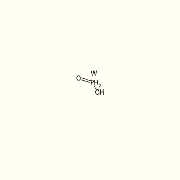 O=[PH2]O.[W]